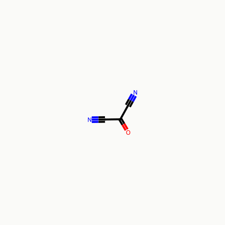 N#CC(=O)C#N